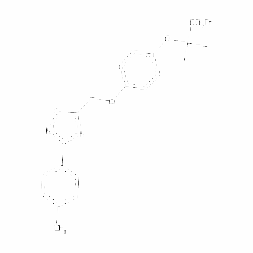 CCOC(=O)C(C)(C)Oc1ccc(OCc2nc(-c3ccc(C(F)(F)F)cc3)no2)cc1